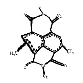 CCN1C(=O)c2cc(C)c3c4c(c(C(F)(F)F)cc(c24)C1=O)C(=O)N(CC)C3=O